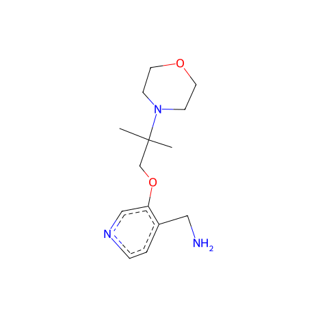 CC(C)(COc1cnccc1CN)N1CCOCC1